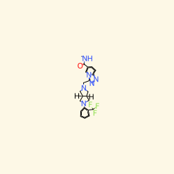 CNC(=O)c1ccc2nnc(CN3C[C@@H]4CN(c5ccccc5C(F)(F)F)C[C@@H]4C3)n2c1